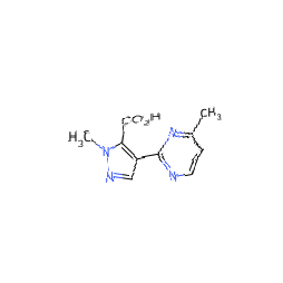 Cc1ccnc(-c2cnn(C)c2C(=O)O)n1